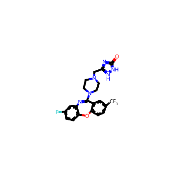 O=c1nc(CN2CCN(C3=Nc4cc(F)ccc4Oc4ccc(C(F)(F)F)cc43)CC2)[nH][nH]1